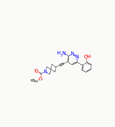 CC(C)(C)OC(=O)N1CC2(CC(C#Cc3cc(-c4ccccc4O)nnc3N)C2)C1